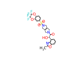 Cc1nc2c(C(O)C(=O)N3CC4=C(C3)CN(S(=O)(=O)c3ccc5c(c3)OC(F)(F)C(F)(F)O5)C4)cccc2o1